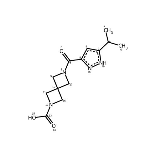 CC(C)c1cc(C(=O)N2CC3(CN(C(=O)O)C3)C2)n[nH]1